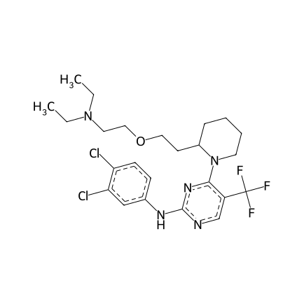 CCN(CC)CCOCCC1CCCCN1c1nc(Nc2ccc(Cl)c(Cl)c2)ncc1C(F)(F)F